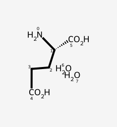 N[C@@H](CCC(=O)O)C(=O)O.O.O